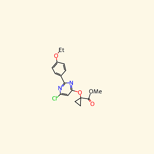 CCOc1ccc(-c2nc(Cl)cc(OC3(C(=O)OC)CC3)n2)cc1